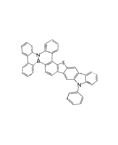 c1ccc(-n2c3ccccc3c3cc4sc5c6c(ccc5c4cc32)B2c3ccccc3-c3ccccc3N2c2ccccc2-6)cc1